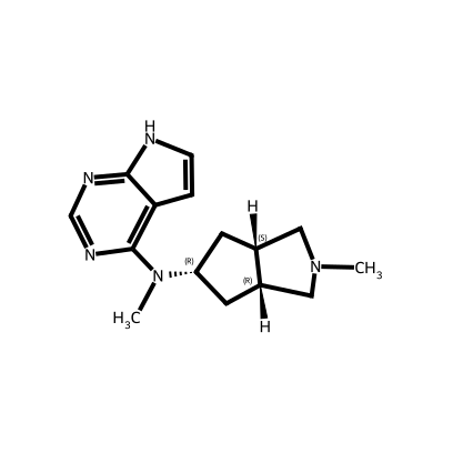 CN1C[C@H]2C[C@@H](N(C)c3ncnc4[nH]ccc34)C[C@H]2C1